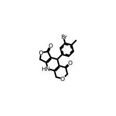 Cc1ccc(C2C3=C(COCC3=O)NC3=C2C(=O)OC3)cc1Br